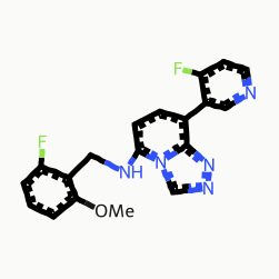 COc1cccc(F)c1CNc1ccc(-c2cnccc2F)c2nncn12